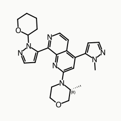 C[C@@H]1COCCN1c1cc(-c2ccnn2C)c2ccnc(-c3ccnn3C3CCCCO3)c2n1